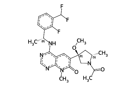 CO[C@@]1(c2cc3c(N[C@H](C)c4cccc(C(F)F)c4F)ncnc3n(C)c2=O)C[C@H](C)N(C(C)=O)C1